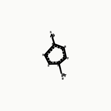 CC(C)c1cc[c]([Al])cc1